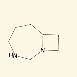 C1CNCN2CCC2C1